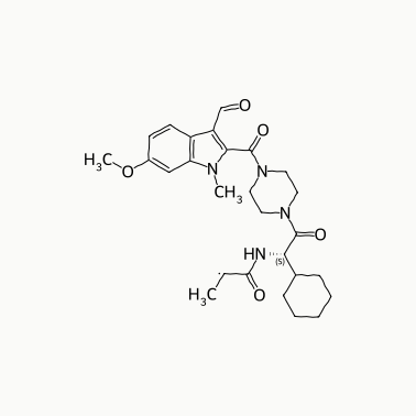 C[CH]C(=O)N[C@H](C(=O)N1CCN(C(=O)c2c(C=O)c3ccc(OC)cc3n2C)CC1)C1CCCCC1